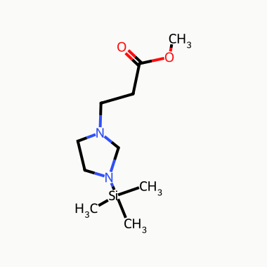 COC(=O)CCN1CCN([Si](C)(C)C)C1